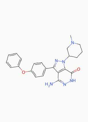 CN1CCCC(n2nc(-c3ccc(Oc4ccccc4)cc3)c3c(N)n[nH]c(=O)c32)C1